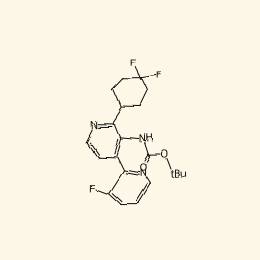 CC(C)(C)OC(=O)Nc1c(-c2ncccc2F)ccnc1C1CCC(F)(F)CC1